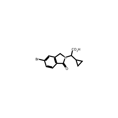 O=C(O)C(C1CC1)N1Cc2cc(Br)ccc2C1=O